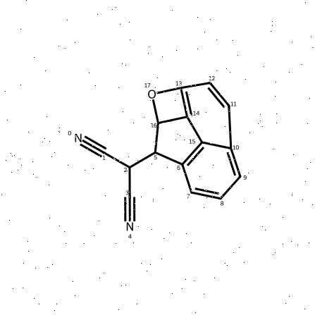 N#CC(C#N)C1c2cccc3ccc4c(c23)C1O4